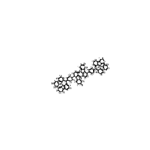 c1ccc([Si]2(c3ccccc3)c3ccccc3N(c3ccc(-c4ccc5c6c4c4ccccc4n6c4ccc(-c6ccc(N7c8ccccc8[Si](c8ccccc8)(c8ccccc8)c8ccccc87)cc6)c6c7ccccc7n5c64)cc3)c3ccccc32)cc1